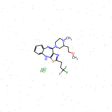 COCCC1CN(C2=Nc3ccccc3Nc3sc(CCC(F)(F)F)nc32)CCN1C.Cl.Cl